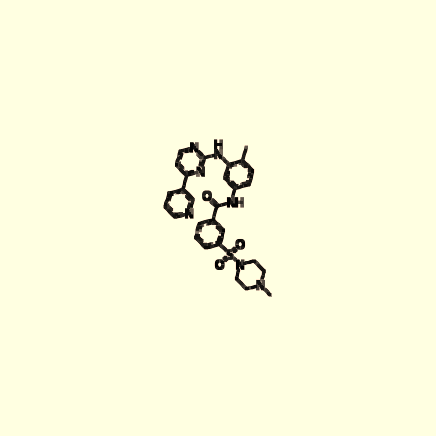 Cc1ccc(NC(=O)c2cccc(S(=O)(=O)N3CCN(C)CC3)c2)cc1Nc1nccc(-c2cccnc2)n1